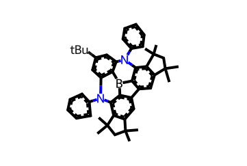 CC(C)(C)c1cc2c3c(c1)N(c1ccccc1)c1c4c(cc5c1C(C)(C)CC5(C)C)-c1cc5c(c(c1B34)N2c1ccccc1)C(C)(C)CC5(C)C